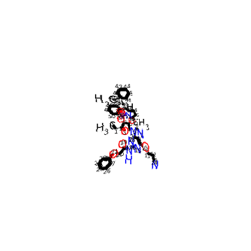 CC[C@H]1O[C@@H](n2cnc3c(OCCC#N)nc(NC(=O)COc4ccccc4)nc32)[C@@H](OC)C1O[P@@]1O[C@H](C[Si](C)(c2ccccc2)c2ccccc2)[C@@H]2CCCN21